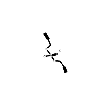 C#CCOP(=O)([O-])OCC#C.[K+]